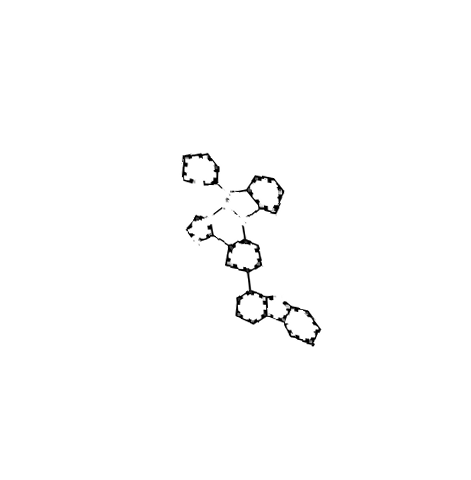 c1ccc(N2B3N(c4ccc(-c5cccc6c5oc5ccccc56)cc4-c4nccn43)c3ccccc32)cc1